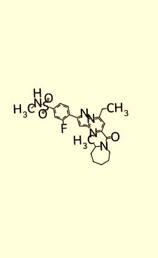 CCc1cc(C(=O)N2CCCCCC2C)nc2cc(-c3ccc(S(=O)(=O)NC)cc3F)nn12